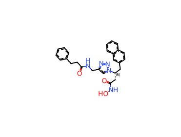 O=C(C[C@@H](Cc1ccc2ccccc2c1)n1cc(CNC(=O)CCc2ccccc2)nn1)NO